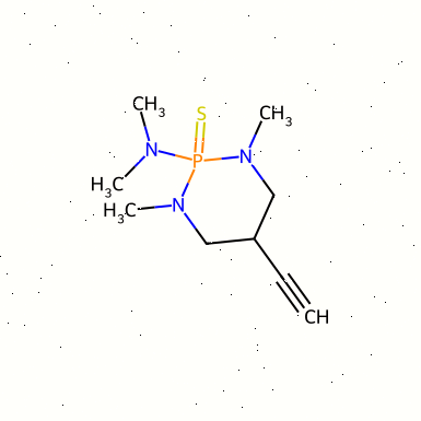 C#CC1CN(C)P(=S)(N(C)C)N(C)C1